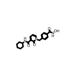 O=C(NO)c1ccc(Cn2cccc(C(=O)NC3CCCCC3)c2=O)cc1